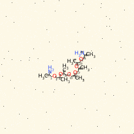 CC(N)COCC(C)OC(C)COCC(C)OCC(C)OC(C)COCC(C)N